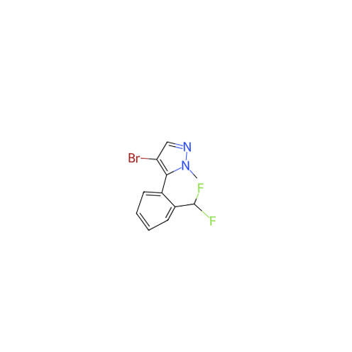 Cn1ncc(Br)c1-c1ccccc1C(F)F